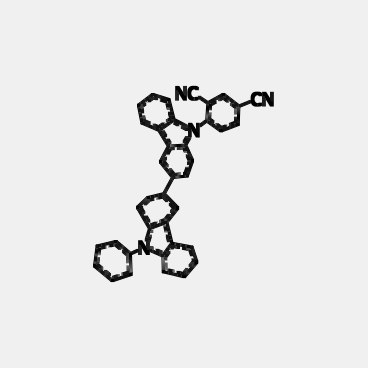 N#Cc1ccc(-n2c3ccccc3c3cc(-c4ccc5c(c4)c4ccccc4n5-c4ccccc4)ccc32)c(C#N)c1